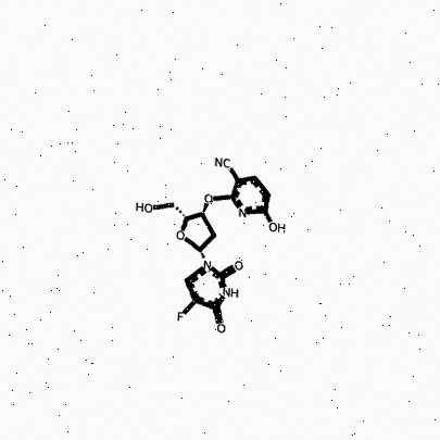 N#Cc1ccc(O)nc1O[C@H]1C[C@H](n2cc(F)c(=O)[nH]c2=O)O[C@@H]1CO